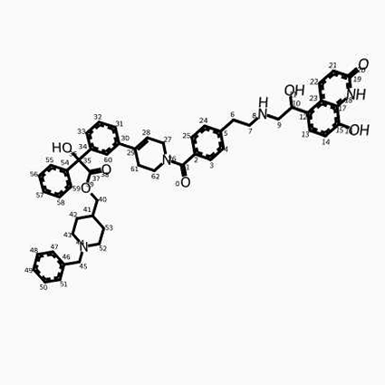 O=C(c1ccc(CCNCC(O)c2ccc(O)c3[nH]c(=O)ccc23)cc1)N1CC=C(c2cccc(C(O)(C(=O)OCC3CCN(Cc4ccccc4)CC3)c3ccccc3)c2)CC1